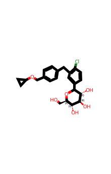 OC[C@H]1OC(c2ccc(Cl)c(Cc3ccc(COC4CC4)cc3)c2)[C@H](O)[C@@H](O)[C@@H]1O